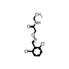 CCNC(=O)CO/N=C/c1c(Cl)cccc1Cl